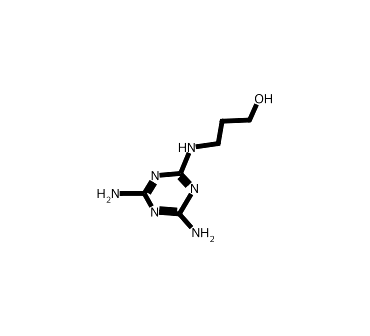 Nc1nc(N)nc(NCCCO)n1